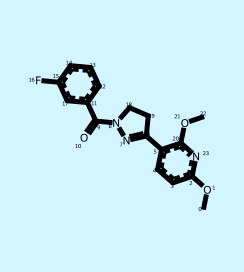 COc1ccc(C2=NN(C(=O)c3cccc(F)c3)CC2)c(OC)n1